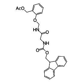 CC(=O)OCc1ccccc1OCNC(=O)CNC(=O)OCC1c2ccccc2-c2ccccc21